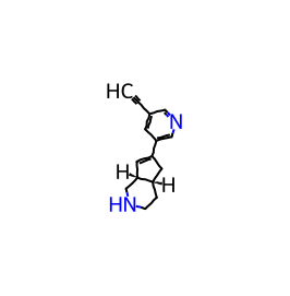 C#Cc1cncc(C2=C[C@H]3CNCC[C@H]3C2)c1